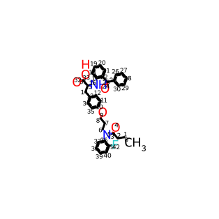 CCCC(=O)N(CCCOc1ccc(CC(Nc2ccccc2C(=O)c2ccccc2)C(=O)O)cc1)c1ccccc1F